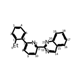 CCc1ccccc1-c1cccc(-c2ncc3ccccc3n2)n1